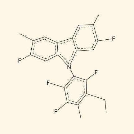 CCc1c(C)c(F)c(F)c(-n2c3cc(F)c(C)cc3c3cc(C)c(F)cc32)c1F